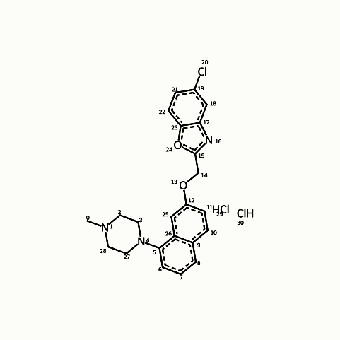 CN1CCN(c2cccc3ccc(OCc4nc5cc(Cl)ccc5o4)cc23)CC1.Cl.Cl